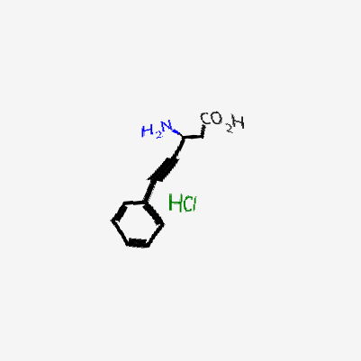 Cl.N[C@H](C#Cc1ccccc1)CC(=O)O